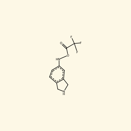 O=C(ONc1ccc2c(c1)CNC2)C(F)(F)F